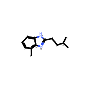 Cc1cccc2[nH]c(CCC(C)C)nc12